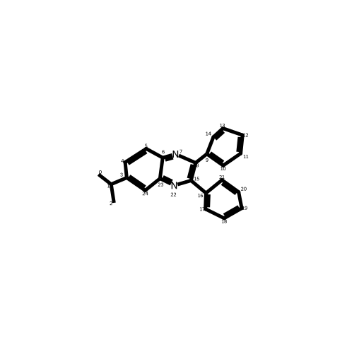 CC(C)c1ccc2nc(-c3ccccc3)c(-c3ccccc3)nc2c1